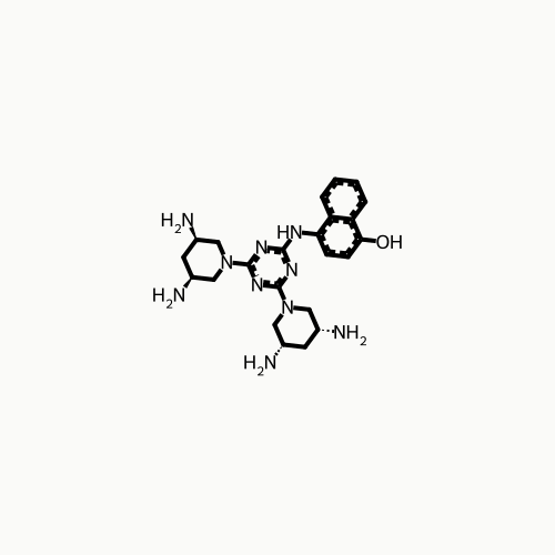 N[C@@H]1C[C@H](N)CN(c2nc(Nc3ccc(O)c4ccccc34)nc(N3C[C@H](N)C[C@H](N)C3)n2)C1